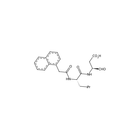 CC(C)C[C@H](NC(=O)Cc1cccc2ccccc12)C(=O)N[C@H](C=O)CC(=O)O